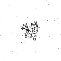 CCC1(CC2NC(C(=O)O)C(c3cccc(Cl)c3F)C2(C#N)c2ccc(Cl)cc2F)COC1.O=C(O)C(F)(F)F